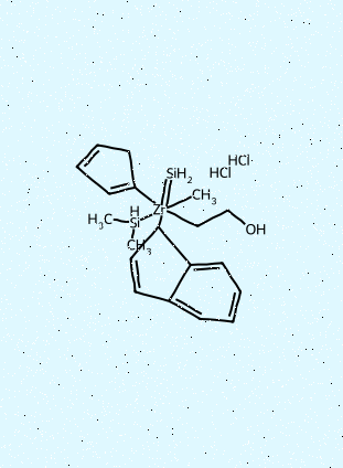 C[SiH](C)[Zr]([CH3])(=[SiH2])([CH2]CO)([C]1=CC=CC1)[CH]1C=Cc2ccccc21.Cl.Cl